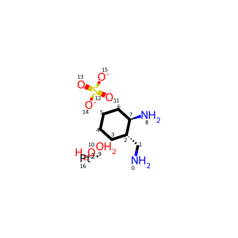 NC[C@@H]1CCCC[C@H]1N.O.O.O=S(=O)([O-])[O-].[Pt+2]